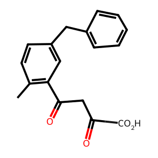 Cc1ccc(Cc2ccccc2)cc1C(=O)CC(=O)C(=O)O